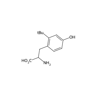 CC(C)(C)c1cc(O)ccc1CC(N)C(=O)O